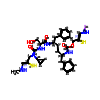 CN/C=C(\S)CN(C(=O)N[C@@H](CO)C(=O)N[C@H](CC[C@H](Cc1ccccc1)NC(=O)OC/C(S)=C/NI)Cc1ccccc1)C1CC1